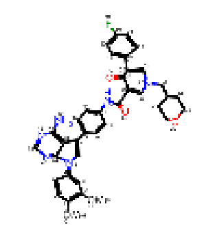 COc1ccc(-n2cc(-c3ccc(NC(=O)c4cn(CC5CCOCC5)cc(-c5ccc(F)cc5)c4=O)cc3)c3c(N)ncnc32)cc1OC